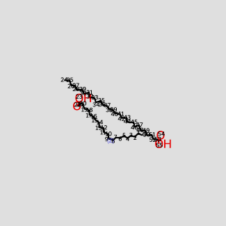 CCCCCCCC/C=C\CCCCCCCCCCCC(=O)O.CCCCCCCCCCCCCCCCCCCCCCCCCCCCCC(=O)O